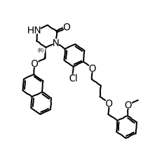 COc1ccccc1COCCCOc1ccc(N2C(=O)CNC[C@@H]2COc2ccc3ccccc3c2)cc1Cl